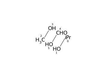 CC(C)O.CO.O=CO